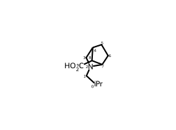 CC(C)CN1CC2CCC1C2C(=O)O